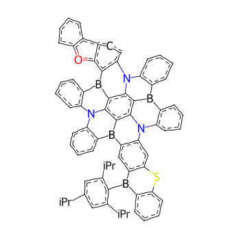 CC(C)c1cc(C(C)C)c(B2c3ccccc3Sc3cc4c(cc32)B2c3ccccc3N3c5ccccc5B5c6c3c2c2c3c6N(c6ccccc6B3c3ccccc3N42)c2ccc3c(oc4ccccc43)c25)c(C(C)C)c1